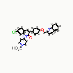 O=C(NC1CCN(C(=O)O)CC1)C(=Cc1ccc(Cl)cc1)c1ccc(OCc2ccc3ccccc3n2)cc1